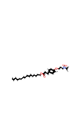 CCCCCCCCCCCCCCCCOC(=O)CCc1ccc(OCCCN(O)C(C)C)cc1